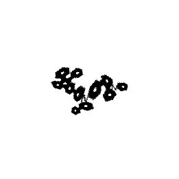 c1ccc(-c2cccc(N(c3ccc(-c4ccc5c(c4)c(-c4ccccc4)c(-c4ccccc4)c4ccccc45)cc3)c3ccc(-c4cccc5c4c4ccccc4n5-c4ccccc4)cc3)c2)cc1